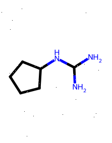 NC(N)NC1CCCC1